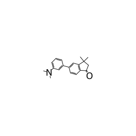 CN(C)c1cccc(-c2ccc3c(c2)C(C)(C)CC3=O)c1